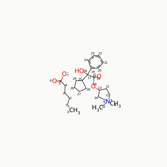 CCCCCC(=O)[O-].C[N+]1(C)CCC(OC(=O)C(O)(c2ccccc2)C2CCCC2)C1